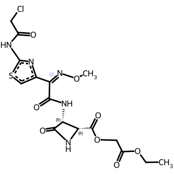 CCOC(=O)COC(=O)[C@@H]1NC(=O)[C@@H]1NC(=O)/C(=N\OC)c1csc(NC(=O)CCl)n1